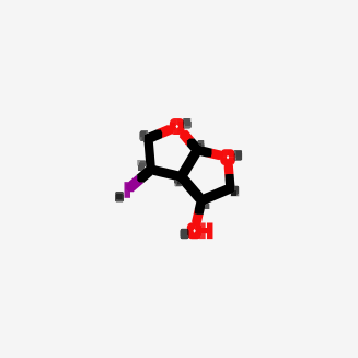 OC1COC2OCC(I)C12